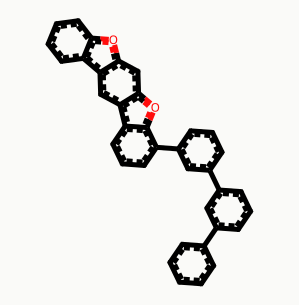 c1ccc(-c2cccc(-c3cccc(-c4cccc5c4oc4cc6oc7ccccc7c6cc45)c3)c2)cc1